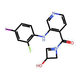 O=C(c1ccncc1Nc1ccc(I)cc1F)[N+]1=CC(O)C1